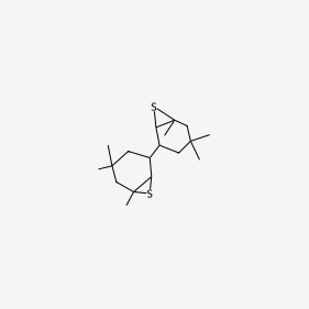 CC1(C)CC(C2CC(C)(C)CC3(C)SC23)C2SC2(C)C1